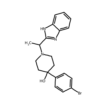 CC(c1nc2ccccc2[nH]1)N1CCC(O)(c2ccc(Br)cc2)CC1